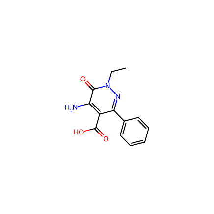 CCn1nc(-c2ccccc2)c(C(=O)O)c(N)c1=O